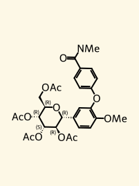 CNC(=O)c1ccc(Oc2cc([C@H]3O[C@H](COC(C)=O)[C@@H](OC(C)=O)[C@@H](OC(C)=O)[C@@H]3OC(C)=O)ccc2OC)cc1